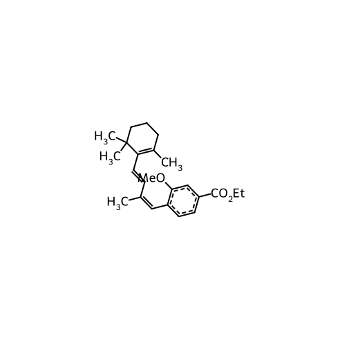 CCOC(=O)c1ccc(C=C(C)C=CC2=C(C)CCCC2(C)C)c(OC)c1